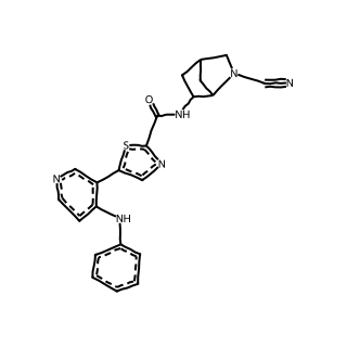 N#CN1CC2CC(NC(=O)c3ncc(-c4cnccc4Nc4ccccc4)s3)C1C2